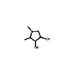 CC1C(O)C(O)CN1I